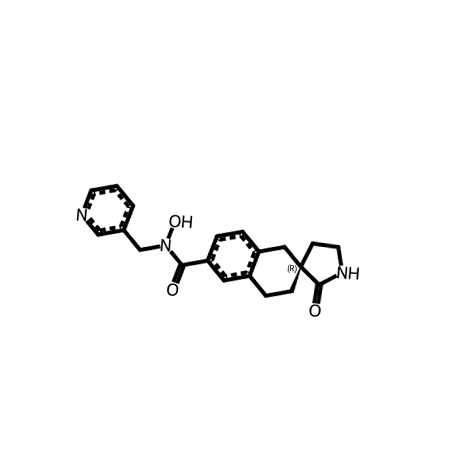 O=C(c1ccc2c(c1)CC[C@]1(CCNC1=O)C2)N(O)Cc1cccnc1